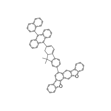 CC1(C)c2cc(-c3cc4c5ccccc5oc4c4cc5oc6ccccc6c5cc34)ccc2C2=CC=C(c3c4ccccc4c(-c4cccc5ccccc45)c4ccccc34)CC21